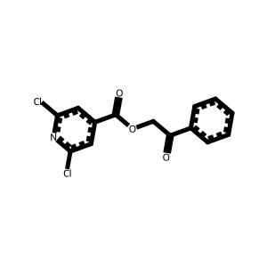 O=C(COC(=O)c1cc(Cl)nc(Cl)c1)c1ccccc1